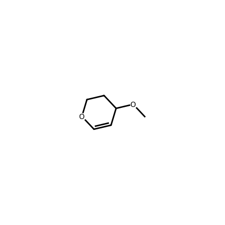 COC1C=COCC1